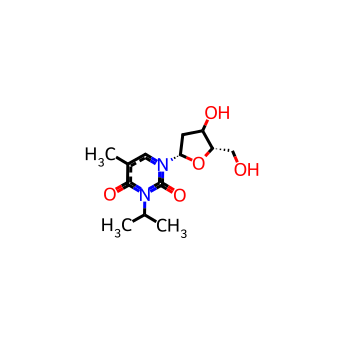 Cc1cn([C@@H]2CC(O)[C@H](CO)O2)c(=O)n(C(C)C)c1=O